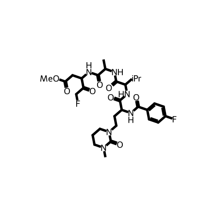 COC(=O)CC(NC(=O)C(C)NC(=O)C(NC(=O)C(CCN1CCCN(C)C1=O)NC(=O)c1ccc(F)cc1)C(C)C)C(=O)CF